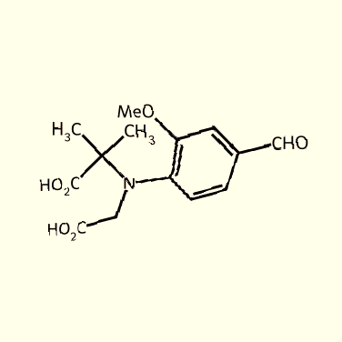 COc1cc(C=O)ccc1N(CC(=O)O)C(C)(C)C(=O)O